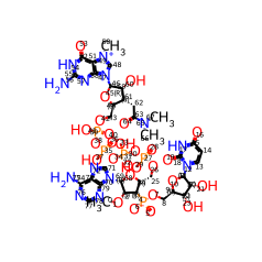 CO[C@@H]1[C@H](P(=O)([O-])OC[C@H]2O[C@@H](n3ccc(=O)[nH]c3=O)[C@H](O)[C@@H]2O)[C@@H](COP(=O)(O)OP(=O)(O)OP(=O)(O)OP(=O)(O)OC[C@H]2OC(n3c[n+](C)c4c(=O)[nH]c(N)nc43)[C@H](O)[C@@H]2CC(=O)N(C)C)O[C@H]1n1cnc2c(N)ncnc21